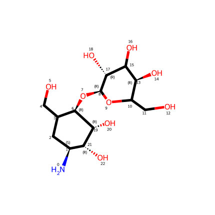 N[C@H]1CC(CO)[C@@H](O[C@@H]2OC(CO)[C@H](O)C(O)[C@H]2O)[C@H](O)[C@@H]1O